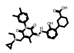 CCN(CC1=C(C)C(=NNc2cccc(C3CCCC(C(=O)O)C3)c2O)C(=O)N(c2ccc(C)c(C)c2)C1=O)C1CC1